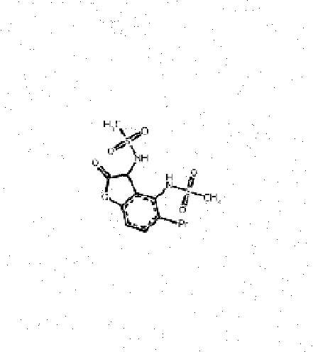 CC(C)c1ccc2c(c1NS(C)(=O)=O)C(NS(C)(=O)=O)C(=O)O2